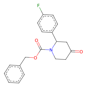 O=C1CCN(C(=O)OCc2ccccc2)C(c2ccc(F)cc2)C1